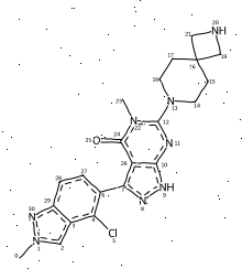 Cn1cc2c(Cl)c(-c3n[nH]c4nc(N5CCC6(CC5)CNC6)n(C)c(=O)c34)ccc2n1